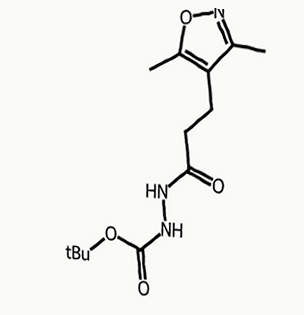 Cc1noc(C)c1CCC(=O)NNC(=O)OC(C)(C)C